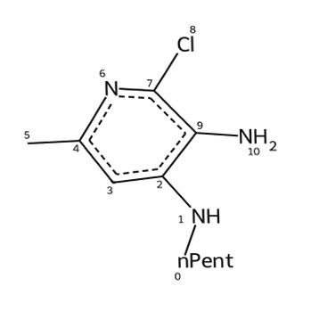 CCCCCNc1cc(C)nc(Cl)c1N